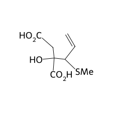 C=CC(SC)C(O)(CC(=O)O)C(=O)O